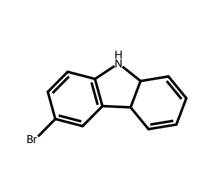 Brc1ccc2c(c1)C1C=CC=CC1N2